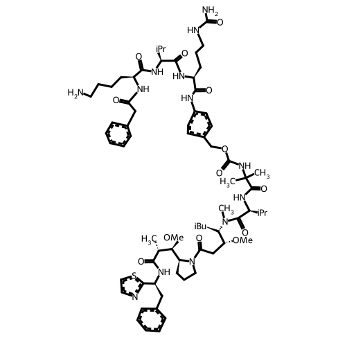 CC[C@H](C)[C@@H]([C@@H](CC(=O)N1CCC[C@H]1[C@H](OC)[C@@H](C)C(=O)N[C@@H](Cc1ccccc1)c1nccs1)OC)N(C)C(=O)[C@@H](NC(=O)C(C)(C)NC(=O)OCc1ccc(NC(=O)[C@H](CCCNC(N)=O)NC(=O)[C@@H](NC(=O)[C@H](CCCCN)NC(=O)Cc2ccccc2)C(C)C)cc1)C(C)C